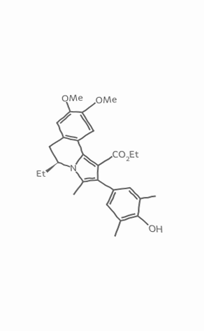 CCOC(=O)c1c(-c2cc(C)c(O)c(C)c2)c(C)n2c1-c1cc(OC)c(OC)cc1C[C@@H]2CC